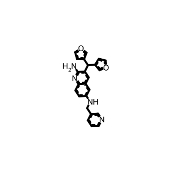 Nc1nc2ccc(NCc3cccnc3)cc2cc1C(c1ccoc1)c1ccoc1